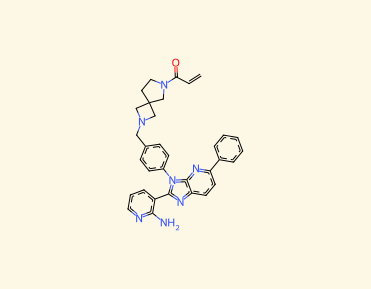 C=CC(=O)N1CCC2(CN(Cc3ccc(-n4c(-c5cccnc5N)nc5ccc(-c6ccccc6)nc54)cc3)C2)C1